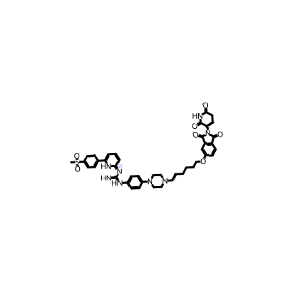 CS(=O)(=O)c1ccc(-c2ccc/c(=N/C(=N)Nc3ccc(N4CCN(CCCCCCOc5ccc6c(c5)C(=O)N(C5CCC(=O)NC5=O)C6=O)CC4)cc3)[nH]2)cc1